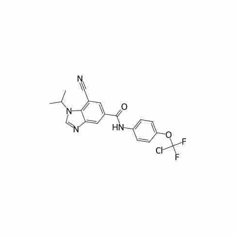 CC(C)n1cnc2cc(C(=O)Nc3ccc(OC(F)(F)Cl)cc3)cc(C#N)c21